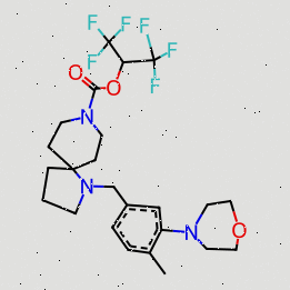 Cc1ccc(CN2CCCC23CCN(C(=O)OC(C(F)(F)F)C(F)(F)F)CC3)cc1N1CCOCC1